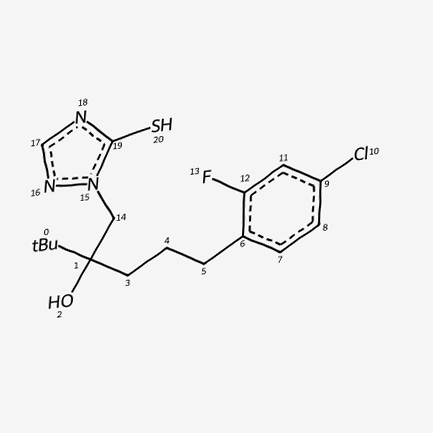 CC(C)(C)C(O)(CCCc1ccc(Cl)cc1F)Cn1ncnc1S